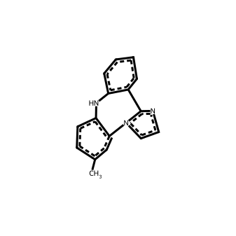 Cc1ccc2c(c1)-n1ccnc1-c1ccccc1N2